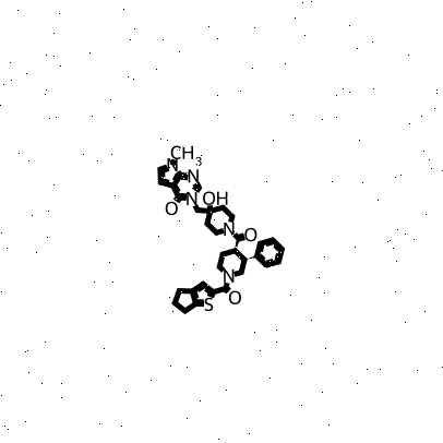 Cn1ccc2c(=O)n(CC3(O)CCN(C(=O)[C@@H]4CCN(C(=O)c5cc6c(s5)CCC6)C[C@H]4c4ccccc4)CC3)cnc21